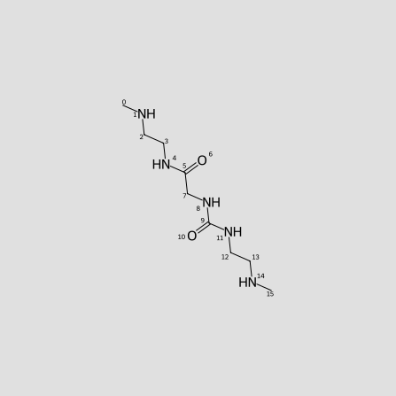 CNCCNC(=O)CNC(=O)NCCNC